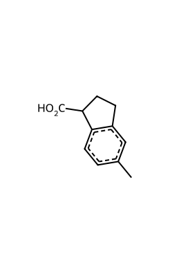 Cc1ccc2c(c1)CCC2C(=O)O